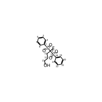 O=S(=O)(c1ccccc1)C(F)(CCCO)S(=O)(=O)c1ccccc1